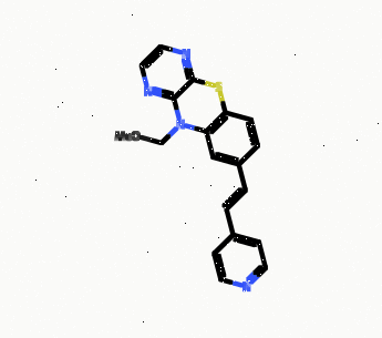 COCN1c2cc(C=Cc3ccncc3)ccc2Sc2nccnc21